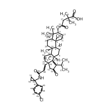 CC(C)C1=C2[C@H]3CC[C@@H]4[C@@]5(C)CC[C@H](OC(=O)CC(C)(C)C(=O)O)C(C)(C)[C@@H]5CC[C@@]4(C)[C@]3(C)CC[C@@]2(/C=C/C(=O)NC2(c3ccc(Cl)cc3)CC2)CC1=O